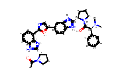 CC(=O)N1CCC[C@H]1c1nc2c(-c3ncc(-c4ccc5[nH]c([C@@H]6CCCN6C(=O)[C@@H](c6ccccc6)N(C)C)nc5c4)o3)cccc2[nH]1